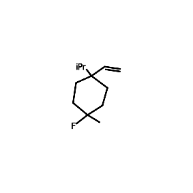 C=CC1(C(C)C)CCC(C)(F)CC1